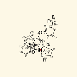 Cc1cc(OC2=NC(NC3[C@@H]4CC[C@H]3CN(C(=O)OC(C)(C)C)C4)N(c3ccccc3)N2C(C)C)cc(C(F)(F)F)c1